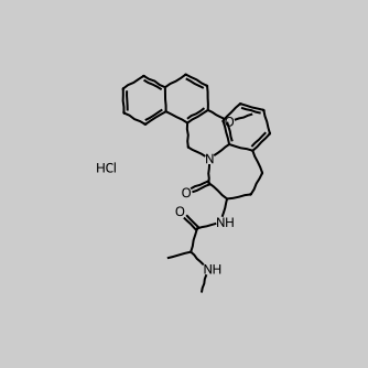 CNC(C)C(=O)NC1CCc2ccccc2N(Cc2c(OC)ccc3ccccc23)C1=O.Cl